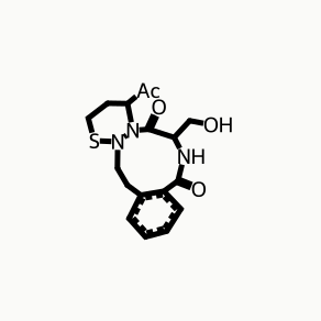 CC(=O)C1CCSN2CCc3ccccc3C(=O)NC(CO)C(=O)N12